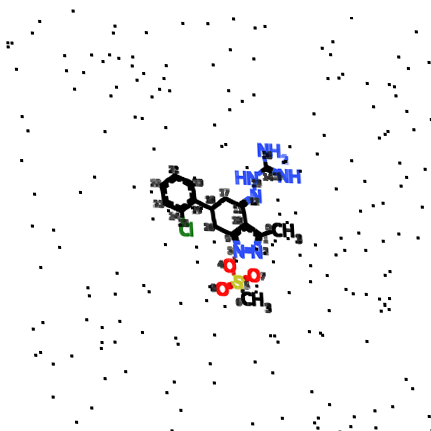 Cc1nn(OS(C)(=O)=O)c2c1C(=NNC(=N)N)CC(c1ccccc1Cl)C2